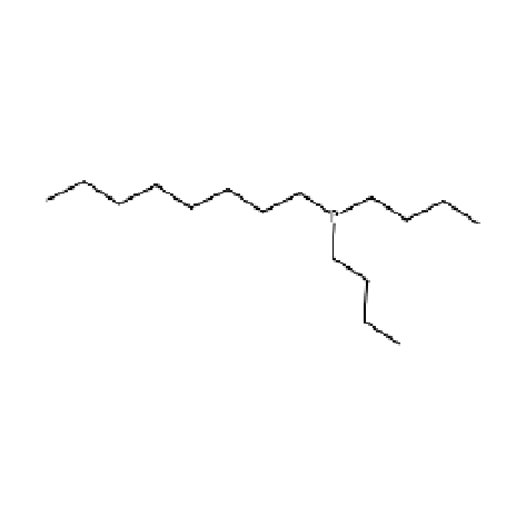 CCCCCCCCP(CCCC)CCCC